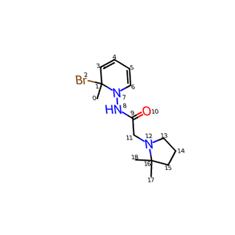 CC1(Br)[C]=CC=CN1NC(=O)CN1CCCC1(C)C